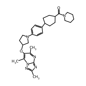 Cc1nc2nc(C)c(OC3CCN(c4ccc(C5CCC(C(=O)N6CCCCC6)CC5)cc4)C3)c(C)n2n1